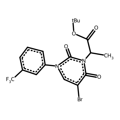 CC(C(=O)OC(C)(C)C)n1c(=O)c(Br)cn(-c2cccc(C(F)(F)F)c2)c1=O